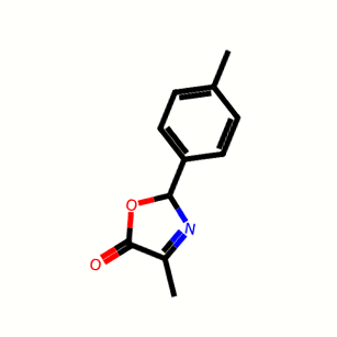 CC1=NC(c2ccc(C)cc2)OC1=O